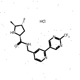 C[C@@H]1N[C@H](C(=O)NCc2ccnc(-c3cnc(C(F)(F)F)nc3)c2)C[C@H]1F.Cl